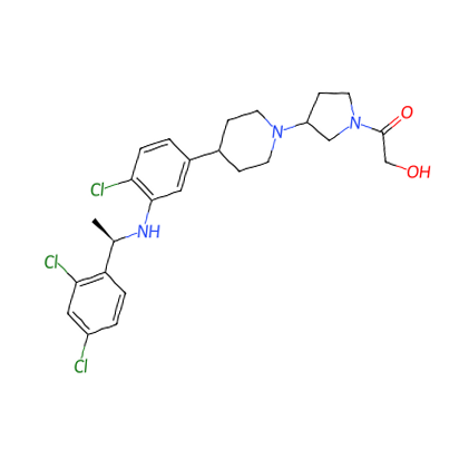 C[C@@H](Nc1cc(C2CCN(C3CCN(C(=O)CO)C3)CC2)ccc1Cl)c1ccc(Cl)cc1Cl